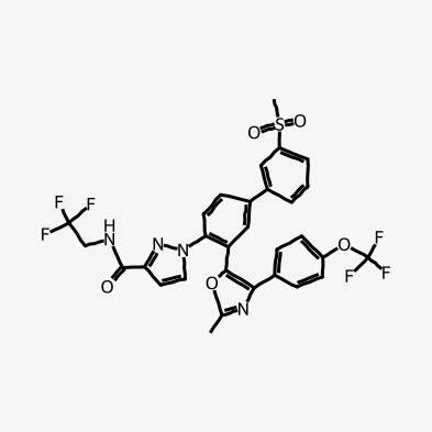 Cc1nc(-c2ccc(OC(F)(F)F)cc2)c(-c2cc(-c3cccc(S(C)(=O)=O)c3)ccc2-n2ccc(C(=O)NCC(F)(F)F)n2)o1